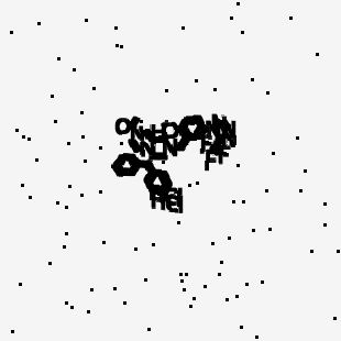 COc1ccc(-n2nnnc2C(F)(F)F)cc1CN1C[C@H]2CN(C(C)=O)CCN2[C@@H](C(c2ccccc2)c2ccccc2)C1.Cl.Cl